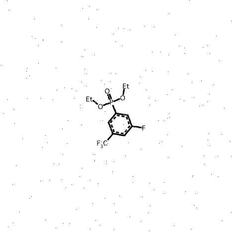 CCOP(=O)(OCC)c1cc(F)cc(C(F)(F)F)c1